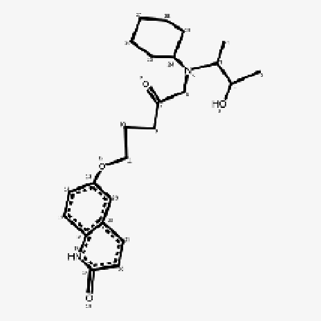 CC(O)C(C)N(CC(=O)CCCOc1ccc2[nH]c(=O)ccc2c1)C1CCCCC1